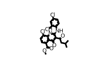 COC(=O)c1ccc(Cl)c2[nH]c(Nc3ccc(Cl)cc3Cl)c(C(=O)CC(C)C)c(=O)c12